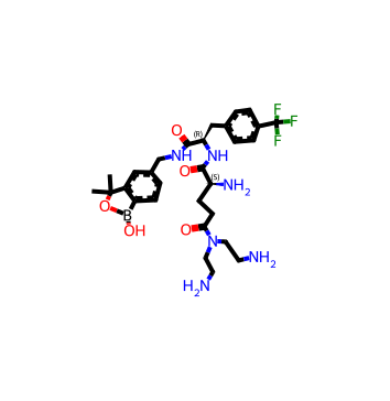 CC1(C)OB(O)c2ccc(CNC(=O)[C@@H](Cc3ccc(C(F)(F)F)cc3)NC(=O)[C@@H](N)CCC(=O)N(CCN)CCN)cc21